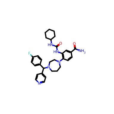 NC(=O)c1ccc(N2CCCN(C(c3ccncc3)c3ccc(F)cc3)CC2)c(NC(=O)NC2CCCCC2)c1